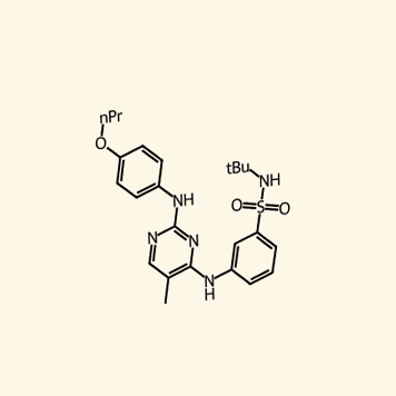 CCCOc1ccc(Nc2ncc(C)c(Nc3cccc(S(=O)(=O)NC(C)(C)C)c3)n2)cc1